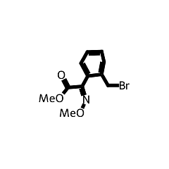 CON=C(C(=O)OC)c1ccccc1CBr